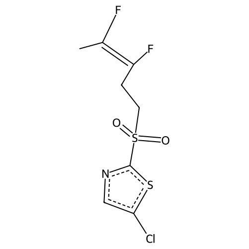 C/C(F)=C(/F)CCS(=O)(=O)c1ncc(Cl)s1